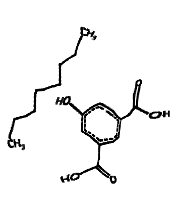 CCCCCCCC.O=C(O)c1cc(O)cc(C(=O)O)c1